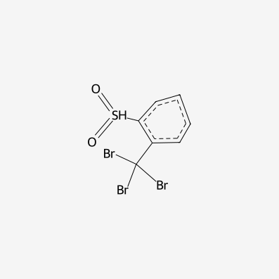 O=[SH](=O)c1ccccc1C(Br)(Br)Br